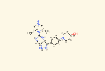 C[C@@H]1CNC[C@H](C)N1c1ncc2[nH]nc(-c3ccc(N4CCC(O)CC4)cc3)c2n1